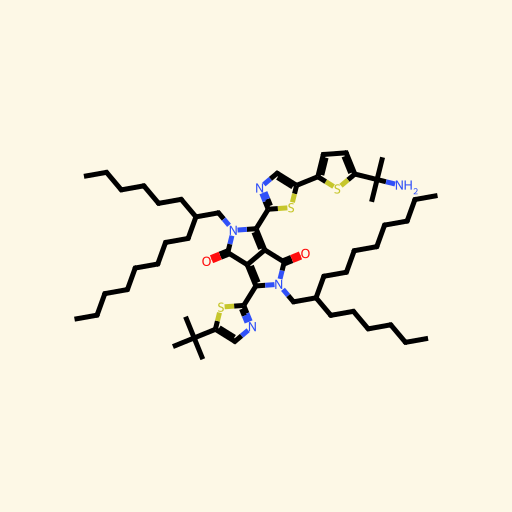 CCCCCCCCC(CCCCCC)CN1C(=O)C2=C(c3ncc(C(C)(C)C)s3)N(CC(CCCCCC)CCCCCCCC)C(=O)C2=C1c1ncc(-c2ccc(C(C)(C)N)s2)s1